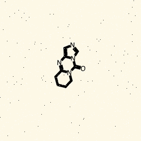 O=c1n2c(nc3cncn13)CCCC2